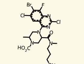 CC1CN(c2nc(Cl)nc3c(F)c(Br)c(Cl)cc23)C(C(=O)N(C)CCCO)CN1C(=O)O